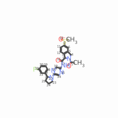 CC(=O)N1Cc2cc([S+](C)[O-])ccc2C1C(=O)Nc1cnc(N2CCCC2c2cccc(F)c2)cn1